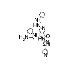 CC(N)C(C)(N)c1ccccc1.CN(C)C(CNc1ccc(C(=O)Nc2nnc(-c3ccncc3)s2)cn1)c1ccccc1